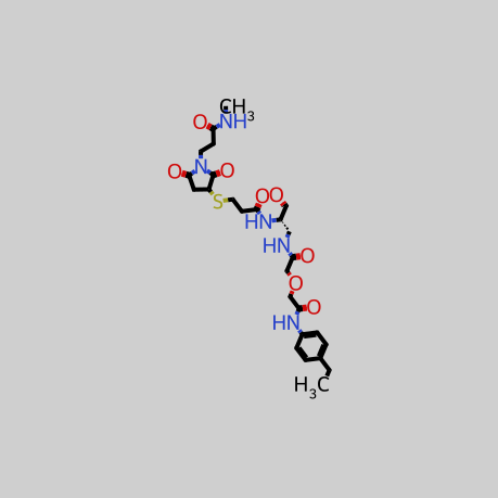 CCc1ccc(NC(=O)COCC(=O)NC[C@@H](C=O)NC(=O)CCSC2CC(=O)N(CCC(=O)NC)C2=O)cc1